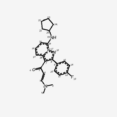 CN(C)C=CC(=O)c1c(-c2ccc(F)cc2)nn2c(NC3CCCC3)cccc12